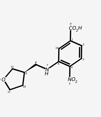 O=C(O)c1ccc([N+](=O)[O-])c(NC[C@H]2CCOC2)c1